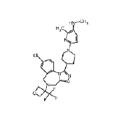 CNc1ccc(N2CCC(c3nnc4n3-c3ccc(Cl)cc3CN(C3(C(F)(F)F)COC3)C4)CC2)nc1C